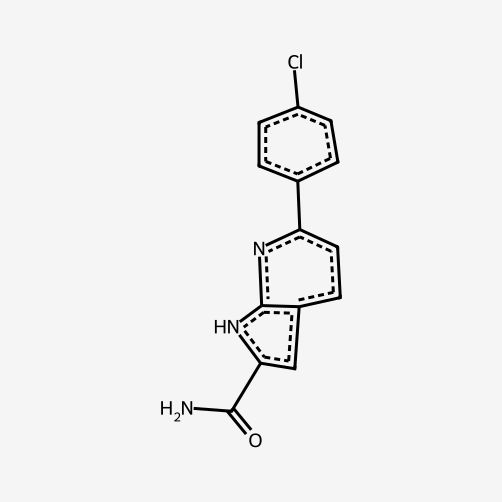 NC(=O)c1cc2ccc(-c3ccc(Cl)cc3)nc2[nH]1